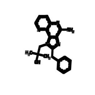 CC(C)(O)Cn1c(Cc2ccccc2)nc2c(N)nc3cccnc3c21